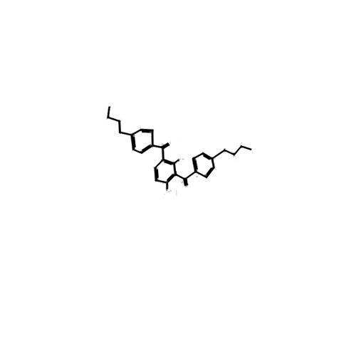 CCCCc1ccc(C(=O)c2ccc(O)c(C(=O)c3ccc(CCCC)cc3)c2O)cc1